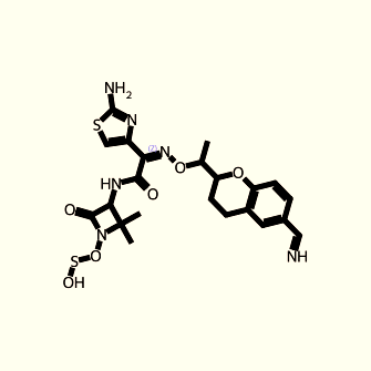 CC(O/N=C(\C(=O)NC1C(=O)N(OSO)C1(C)C)c1csc(N)n1)C1CCc2cc(C=N)ccc2O1